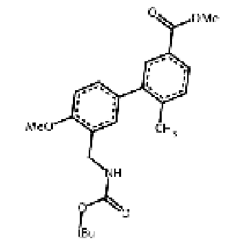 COC(=O)c1ccc(C)c(-c2ccc(OC)c(CNC(=O)OC(C)(C)C)c2)c1